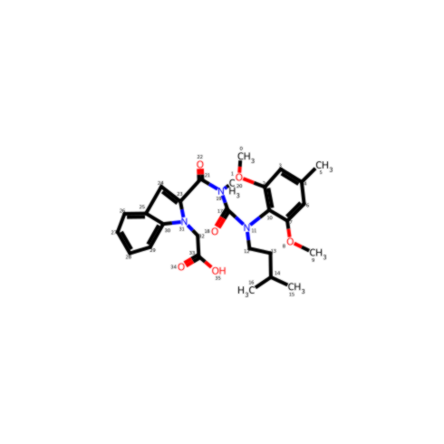 COc1cc(C)cc(OC)c1N(CCC(C)C)C(=O)N(C)C(=O)c1cc2ccccc2n1CC(=O)O